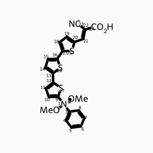 CO[N+](OC)(c1ccccc1)c1ccc(-c2ccc(-c3ccc(/C=C(\C#N)C(=O)O)s3)s2)s1